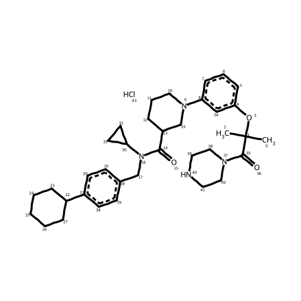 CC(C)(Oc1cccc(N2CCCC(C(=O)N(Cc3ccc(C4CCCCC4)cc3)C3CC3)C2)c1)C(=O)N1CCNCC1.Cl